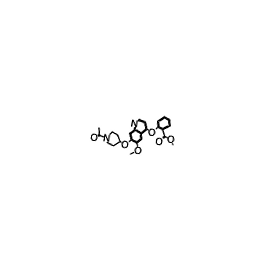 COC(=O)c1ccccc1Oc1ccnc2cc(OC3CCN(C(C)=O)CC3)c(OC)cc12